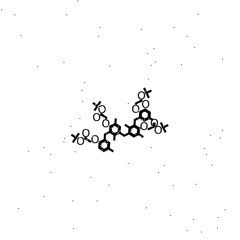 Cc1ccc(OCC(=O)OC(C)(C)C)c(Cc2c(C)c(Cc3cc(C)c(OCC(=O)OC(C)(C)C)c(Cc4cc(C)ccc4OCC(=O)OC(C)(C)C)c3C)cc(C)c2OCC(=O)OC(C)(C)C)c1